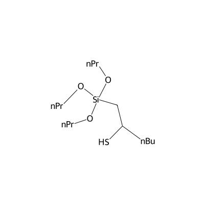 CCCCC(S)C[Si](OCCC)(OCCC)OCCC